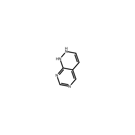 C1=Cc2cncnc2NN1